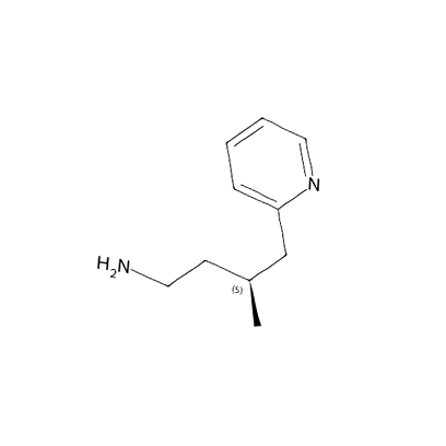 C[C@@H](CCN)Cc1ccccn1